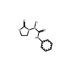 CCN(C(=O)Nc1ccccc1)N1CCOC1=O